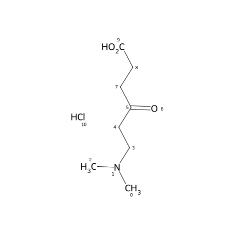 CN(C)CCC(=O)CCC(=O)O.Cl